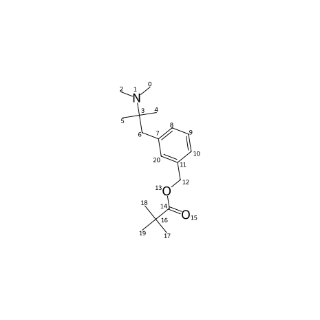 CN(C)C(C)(C)Cc1cccc(COC(=O)C(C)(C)C)c1